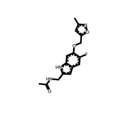 CC(=O)NCc1cc2cc(F)c(OCc3cc(C)no3)cc2[nH]1